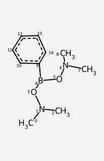 CN(C)OB(ON(C)C)c1ccccc1